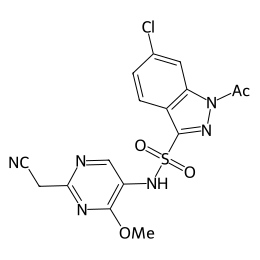 COc1nc(CC#N)ncc1NS(=O)(=O)c1nn(C(C)=O)c2cc(Cl)ccc12